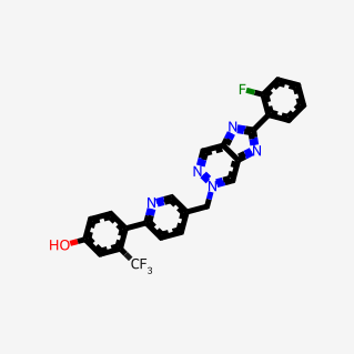 Oc1ccc(-c2ccc(Cn3cc4nc(-c5ccccc5F)nc-4cn3)cn2)c(C(F)(F)F)c1